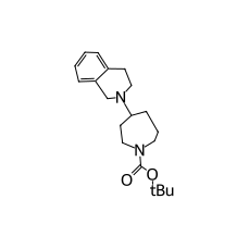 CC(C)(C)OC(=O)N1CCCC(N2CCc3ccccc3C2)CC1